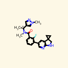 C[C@@H](c1cnn(C)c1)N(C)C(=O)c1cccc(-c2cnc3c(c2)C2(CC2)CN3)c1F